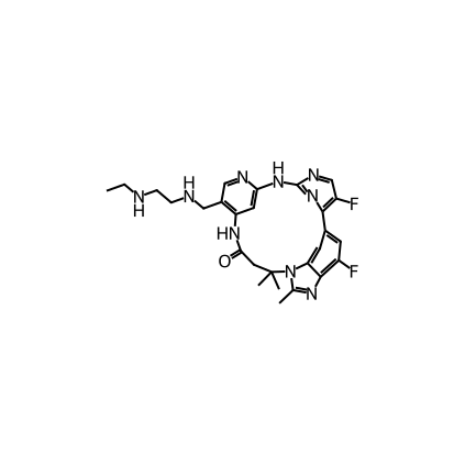 CCNCCNCc1cnc2cc1NC(=O)CC(C)(C)n1c(C)nc3c(F)cc(cc31)-c1nc(ncc1F)N2